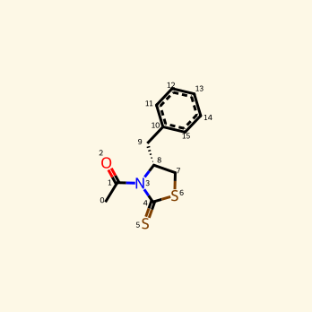 CC(=O)N1C(=S)SC[C@H]1Cc1ccccc1